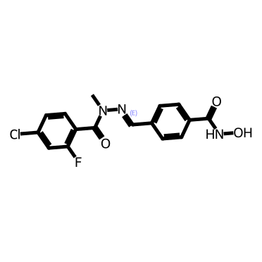 CN(/N=C/c1ccc(C(=O)NO)cc1)C(=O)c1ccc(Cl)cc1F